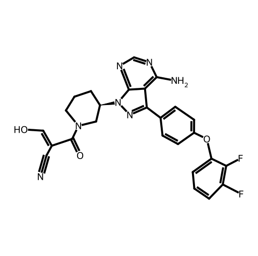 N#CC(=CO)C(=O)N1CCC[C@@H](n2nc(-c3ccc(Oc4cccc(F)c4F)cc3)c3c(N)ncnc32)C1